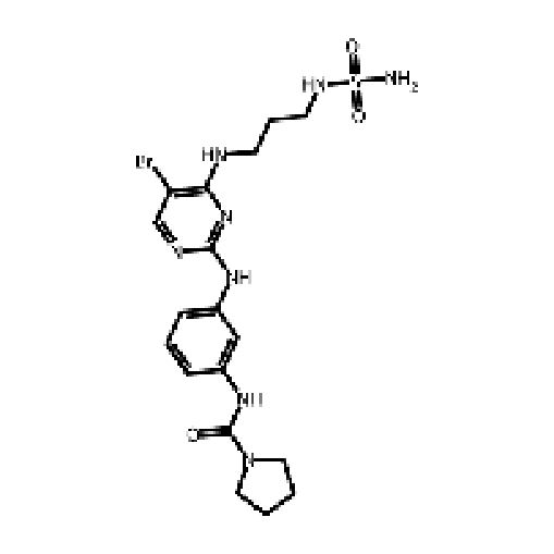 NS(=O)(=O)NCCCNc1nc(Nc2cccc(NC(=O)N3CCCC3)c2)ncc1Br